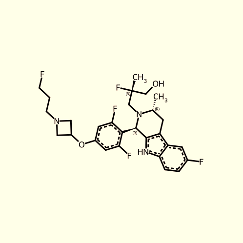 C[C@@H]1Cc2c([nH]c3ccc(F)cc23)[C@@H](c2c(F)cc(OC3CN(CCCF)C3)cc2F)N1C[C@](C)(F)CO